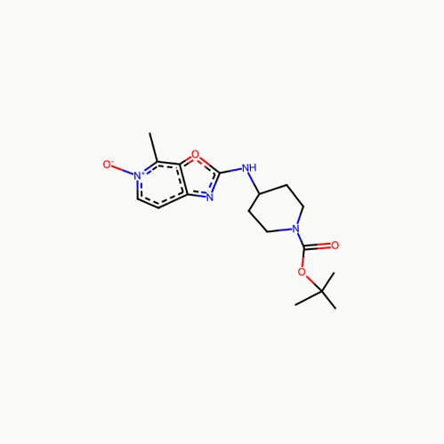 Cc1c2oc(NC3CCN(C(=O)OC(C)(C)C)CC3)nc2cc[n+]1[O-]